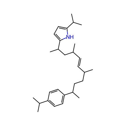 CC(C=CC(C)CC(C)c1ccc(C(C)C)[nH]1)CCC(C)c1ccc(C(C)C)cc1